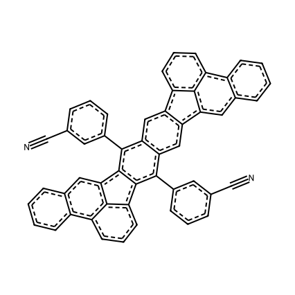 N#Cc1cccc(-c2c3cc4c(cc3c(-c3cccc(C#N)c3)c3c5cc6ccccc6c6cccc(c23)c65)c2cccc3c5ccccc5cc4c32)c1